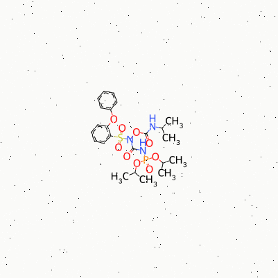 CC(C)NC(=O)ON(C(=O)NP(=O)(OC(C)C)OC(C)C)S(=O)(=O)c1ccccc1Oc1ccccc1